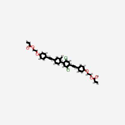 C=CC(=O)OCCOc1ccc(C#Cc2ccc(-c3cc(Cl)c(C#Cc4ccc(OCCOC(=O)C=C)cc4)cc3Cl)c(C)c2)cc1